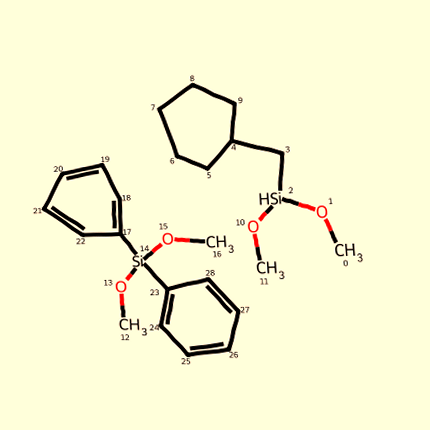 CO[SiH](CC1CCCCC1)OC.CO[Si](OC)(c1ccccc1)c1ccccc1